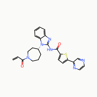 C=CC(=O)N1CCC[C@@H](n2c(NC(=O)c3ccc(-c4cnccn4)s3)nc3ccccc32)CC1